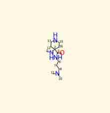 CNC1(C(=O)NCCCN(C)C)CCNCC1